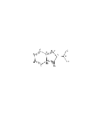 CC(C)C1N=c2ccccc2=N1